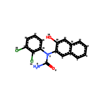 NC(=O)N(c1cc2ccccc2cc1O)c1cccc(Cl)c1Cl